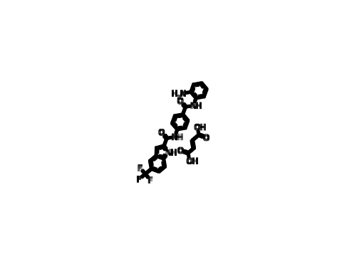 Nc1ccccc1NC(=O)c1ccc(NC(=O)c2cc3cc(C(F)(F)F)ccc3[nH]2)cc1.O=C(O)C=CC(=O)O